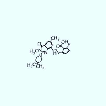 Cc1cc(CCNc2cccc(F)c2C(=O)O)c2nc(N3CCC(C)(C)CC3)n(C)c(=O)c2c1